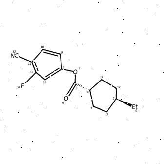 CC[C@H]1CC[C@H](C(=O)Oc2ccc(C#N)c(F)c2)CC1